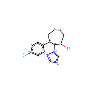 OC1CCCCC(c2ccc(Cl)cc2)C1n1cncn1